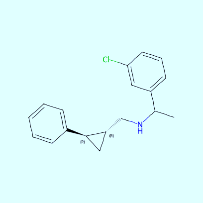 CC(NC[C@@H]1C[C@H]1c1ccccc1)c1cccc(Cl)c1